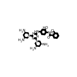 N[C@@H]1C[C@H](N)CN(c2nc(Nc3ccc(NC(=O)c4ccccc4Cl)c(O)c3)nc(N3C[C@H](N)C[C@H](N)C3)n2)C1